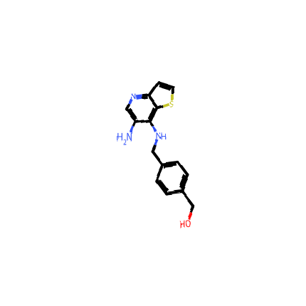 Nc1cnc2ccsc2c1NCc1ccc(CO)cc1